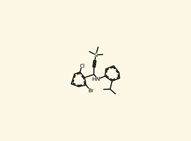 CC(C)c1ccccc1NC(C#C[Si](C)(C)C)c1c(Cl)cccc1Br